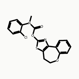 CN(C(=O)Oc1nc2c(s1)CCOc1ccccc1-2)c1ccccc1Cl